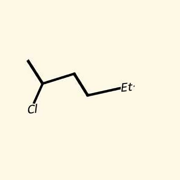 C[CH]CCC(C)Cl